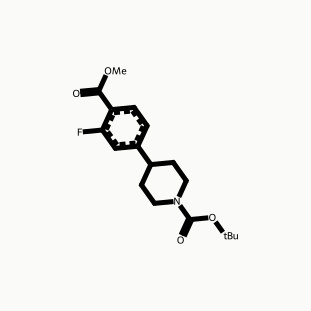 COC(=O)c1ccc(C2CCN(C(=O)OC(C)(C)C)CC2)cc1F